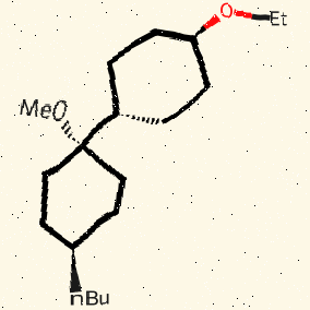 CCCC[C@H]1CC[C@@](OC)([C@H]2CC[C@H](OCC)CC2)CC1